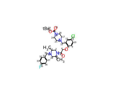 CC1CN(C(=O)COc2ccc(Cl)cc2CN2CCN(C(=O)OC(C)(C)C)CC2)C(C)CN1Cc1ccc(F)cc1